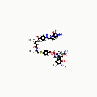 CO[C@@]12[C@H](COC(N)=O)C3=C(C(=O)C(C)=C(N)C3=O)N1CN(C(=O)OCc1ccc(SSCC(NC(=O)CC[C@H](NC(=O)c3ccc(NCc4cnc5cc(N)[nH]c(=O)c5n4)cc3)C(=O)O)C(=O)O)cc1)[C@H]2C